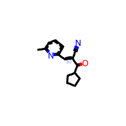 Cc1cccc(/C=C(\C#N)C(=O)C2CCCC2)n1